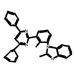 Cc1c(-c2nc(-c3ccccc3)cc(-c3ccccc3)n2)cccc1-n1c(C)nc2ccccc21